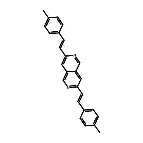 Cc1ccc(/C=C/c2cc3cnc(/C=C/c4ccc(C)cc4)cc3cn2)cc1